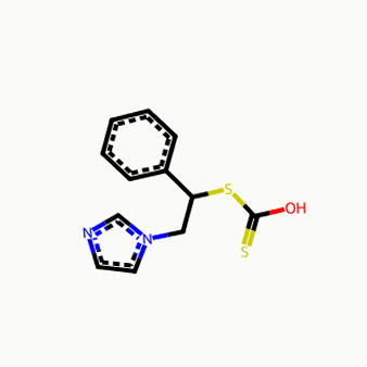 OC(=S)SC(Cn1ccnc1)c1ccccc1